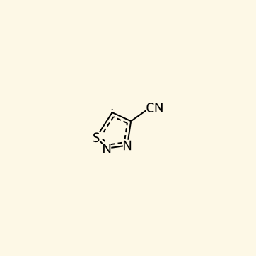 N#Cc1[c]snn1